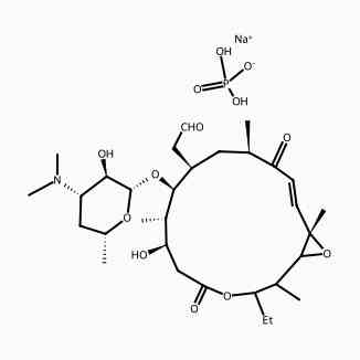 CCC1OC(=O)C[C@@H](O)[C@H](C)[C@@H](O[C@@H]2O[C@H](C)C[C@H](N(C)C)[C@H]2O)[C@@H](CC=O)C[C@@H](C)C(=O)/C=C/[C@]2(C)OC2C1C.O=P([O-])(O)O.[Na+]